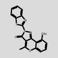 CC(=O)Oc1cccc2oc(C)c3c(=O)n(-c4nc5ccccc5s4)nc-3c12